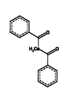 O=[C]([GeH2][C](=O)c1ccccc1)c1ccccc1